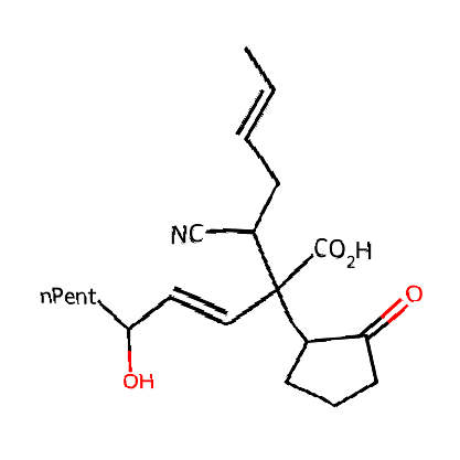 CC=CCC(C#N)C(C=CC(O)CCCCC)(C(=O)O)C1CCCC1=O